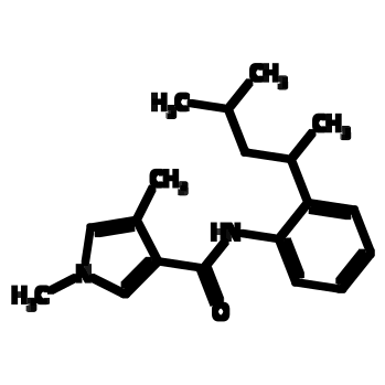 Cc1cn(C)cc1C(=O)Nc1ccccc1C(C)CC(C)C